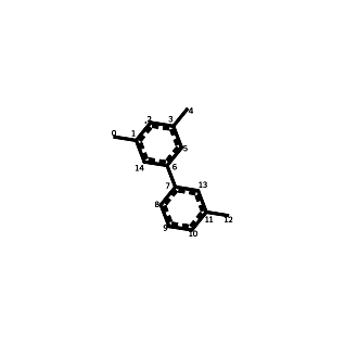 Cc1[c]c(C)cc(-c2cccc(C)c2)c1